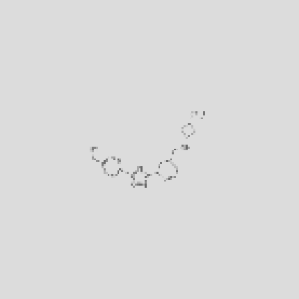 CC(C)Cc1ccc(-c2nc(C3C=CC=C(CN[C@H]4C[C@@H](C(=O)O)C4)C3)no2)cc1